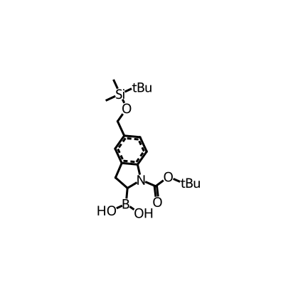 CC(C)(C)OC(=O)N1c2ccc(CO[Si](C)(C)C(C)(C)C)cc2CC1B(O)O